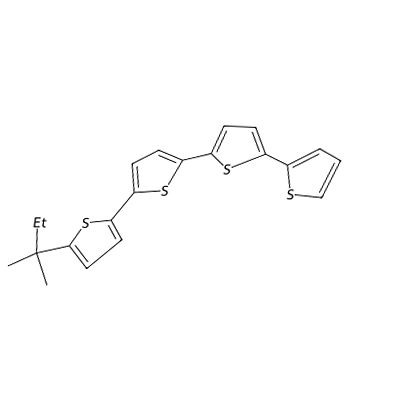 CCC(C)(C)c1ccc(-c2ccc(-c3ccc(-c4cccs4)s3)s2)s1